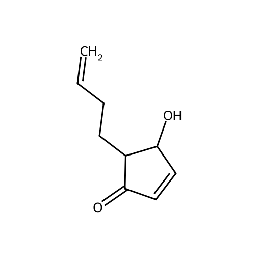 C=CCCC1C(=O)C=CC1O